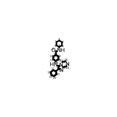 O=C(NC1CCCCC1)c1ccc(Nc2c(-c3ccccc3)nc3cnccn23)cc1